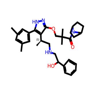 Cc1cc(C)cc(-c2[nH]nc(OCC(C)(C)C(=O)N3C4CCC3CC4)c2[C@H](C)CNCC(O)c2ccccc2)c1